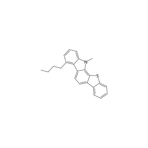 CCCCc1cccc2c1c1ccc3c4ccccc4sc3c1n2C